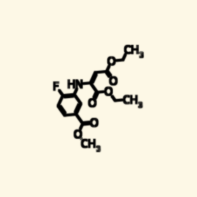 CCOC(=O)/C=C(/Nc1cc(C(=O)OC)ccc1F)C(=O)OCC